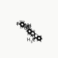 CC(c1ccccc1)N1CCc2cc(S(=O)(=O)Nc3ccc(F)cc3)ccc2C1